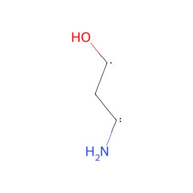 N[C]C[CH]O